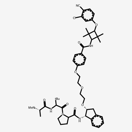 CN[C@@H](C)C(=O)NC(C(=O)N1CCCC1C(=O)N[C@H]1c2ccccc2C[C@H]1OCCOCCOc1ccc(C(=O)NC2C(C)(C)C(Oc3ccc(C#N)c(Cl)c3)C2(C)C)cc1)C(C)(C)C